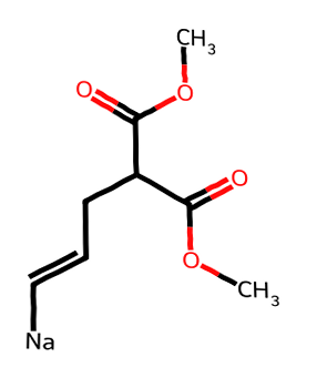 COC(=O)C(CC=[CH][Na])C(=O)OC